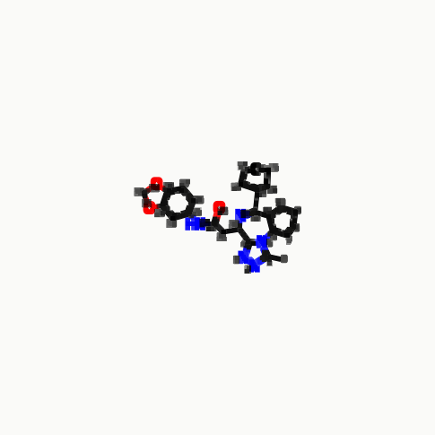 Cc1nnc2n1-c1ccccc1C(c1ccccc1)=NC2CC(=O)Nc1ccc2c(c1)OCO2